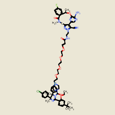 CCOc1cc(C(C)(C)C)ccc1C1=N[C@](C)(c2ccc(Cl)cc2)[C@](C)(c2ccc(Cl)cc2)N1C(O)N1CCN(CCOCCOCCOCCOCCC(=O)NCCn2nc3c(c2C#N)-c2cnc(N)c(n2)O[C@H](C)c2cc(F)ccc2C(=O)N(C)C3)CC1